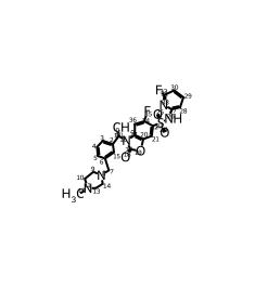 C[C@H](c1cccc(CN2CCN(C)CC2)c1)n1c(=O)oc2cc(S(=O)(=O)Nc3cccc(F)n3)c(F)cc21